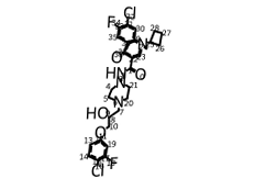 O=C(NN1CCN(C[C@@H](O)COc2ccc(Cl)c(F)c2)CC1)c1cn(C2CCC2)c2cc(Cl)c(F)cc2c1=O